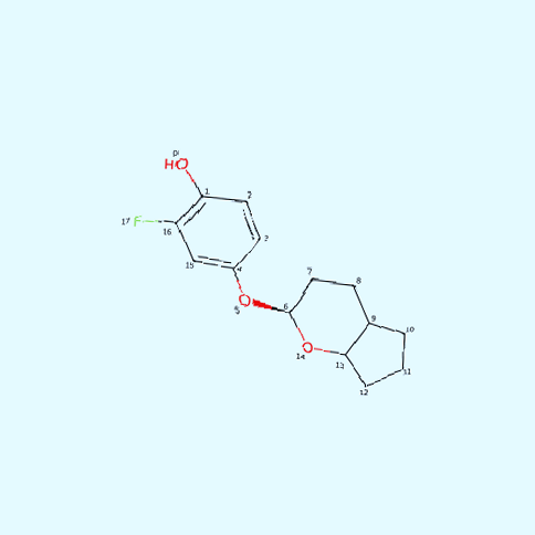 Oc1ccc(O[C@H]2CCC3CCCC3O2)cc1F